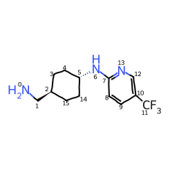 NC[C@H]1CC[C@H](Nc2ccc(C(F)(F)F)cn2)CC1